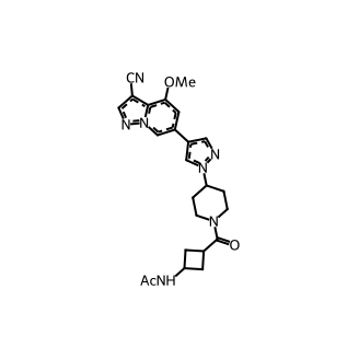 COc1cc(-c2cnn(C3CCN(C(=O)C4CC(NC(C)=O)C4)CC3)c2)cn2ncc(C#N)c12